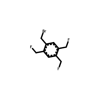 FCc1cc(CF)c(CBr)cc1CF